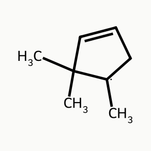 C[C]1CC=CC1(C)C